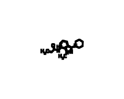 C=CC(=O)Nc1cccc2c(N3CCCCC3)nn(C)c12